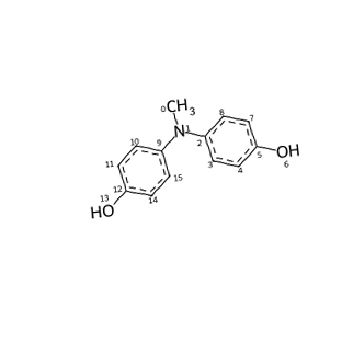 CN(c1ccc(O)cc1)c1ccc(O)cc1